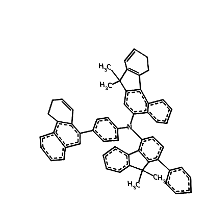 CC1(C)C2=C(CCC=C2)c2c1cc(N(c1ccc(-c3cc4ccccc4c4c3C=CCC4)cc1)c1ccc(-c3ccccc3)c3c1-c1ccccc1C3(C)C)c1ccccc21